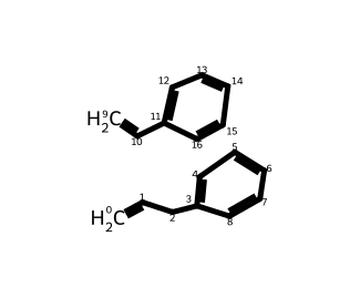 C=CCc1ccccc1.C=Cc1ccccc1